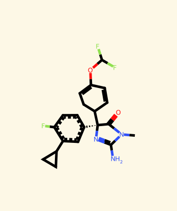 CN1C(=O)[C@](c2ccc(F)c(C3CC3)c2)(C2C=CC(OC(F)F)=CC2)N=C1N